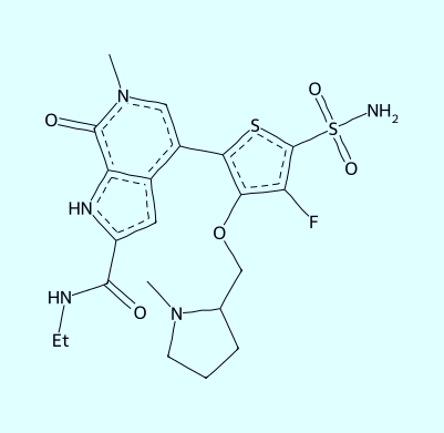 CCNC(=O)c1cc2c(-c3sc(S(N)(=O)=O)c(F)c3OCC3CCCN3C)cn(C)c(=O)c2[nH]1